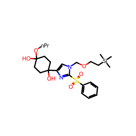 CCCOC1(O)CCC(O)(c2cn(COCC[Si](C)(C)C)c(S(=O)(=O)c3ccccc3)n2)CC1